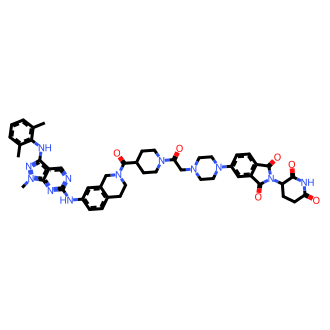 Cc1cccc(C)c1Nc1nn(C)c2nc(Nc3ccc4c(c3)CN(C(=O)C3CCN(C(=O)CN5CCN(c6ccc7c(c6)C(=O)N(C6CCC(=O)NC6=O)C7=O)CC5)CC3)CC4)ncc12